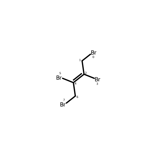 BrCC(Br)=C(Br)CBr